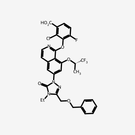 CCn1c(COCc2ccccc2)nn(-c2cc(O[C@@H](C)C(F)(F)F)c3c(Oc4c(F)ccc(C(=O)O)c4Cl)nccc3c2)c1=O